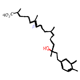 CC1=CC=C(CCC(C)(O)CCCC(C)CC/C=C(\C)CCCC(C)C(=O)O)CC1C